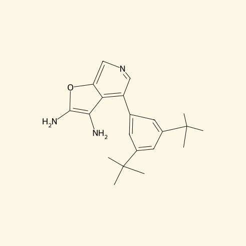 CC(C)(C)c1cc(-c2cncc3oc(N)c(N)c23)cc(C(C)(C)C)c1